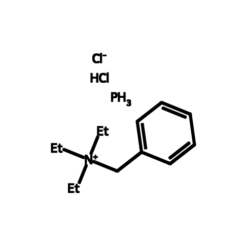 CC[N+](CC)(CC)Cc1ccccc1.Cl.P.[Cl-]